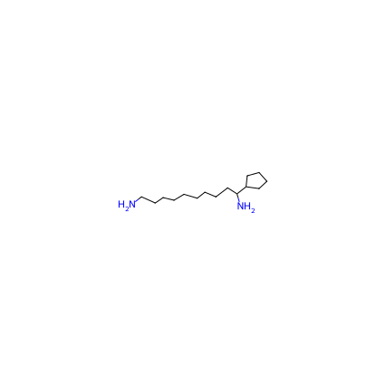 NCCCCCCCCCC(N)C1CCCC1